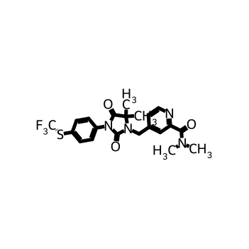 CN(C)C(=O)c1cc(CN2C(=O)N(c3ccc(SC(F)(F)F)cc3)C(=O)C2(C)C)ccn1